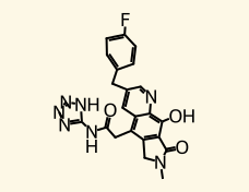 CN1Cc2c(c(O)c3ncc(Cc4ccc(F)cc4)cc3c2CC(=O)Nc2nnn[nH]2)C1=O